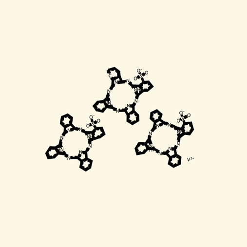 O=S(=O)([O-])c1cccc2c3nc4nc(nc5[nH]c(nc6nc(nc([nH]3)c12)-c1ccccc1-6)c1ccccc51)-c1ccccc1-4.O=S(=O)([O-])c1cccc2c3nc4nc(nc5[nH]c(nc6nc(nc([nH]3)c12)-c1ccccc1-6)c1ccccc51)-c1ccccc1-4.O=S(=O)([O-])c1cccc2c3nc4nc(nc5[nH]c(nc6nc(nc([nH]3)c12)-c1ccccc1-6)c1ccccc51)-c1ccccc1-4.[V+3]